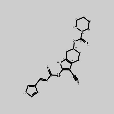 N#Cc1c(NC(=O)C=Cc2ccoc2)sc2c1CCC(OC(=O)N1CCCCO1)C2